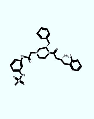 CS(=O)(=O)Nc1cccc(NC(=O)CN2CCN(C(=O)C[C@H](N)Cc3ccccc3F)[C@@H](Cc3ccccc3)C2)c1